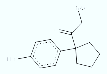 CNCC(=O)C1(c2ccc(C)cc2)CCCC1